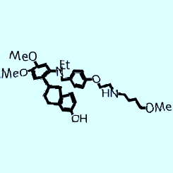 CCN(Cc1ccc(OCCNCCCCOC)cc1)c1cc(OC)c(OC)cc1C1CCc2cc(O)ccc2C1